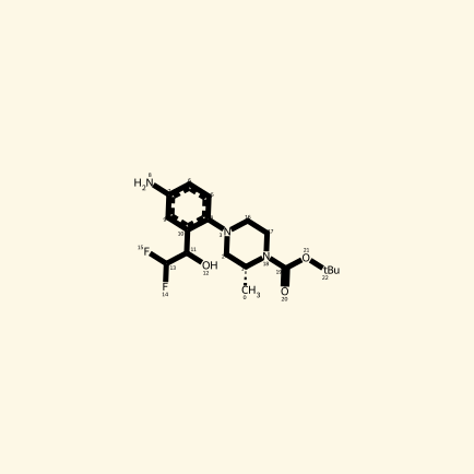 C[C@@H]1CN(c2ccc(N)cc2C(O)C(F)F)CCN1C(=O)OC(C)(C)C